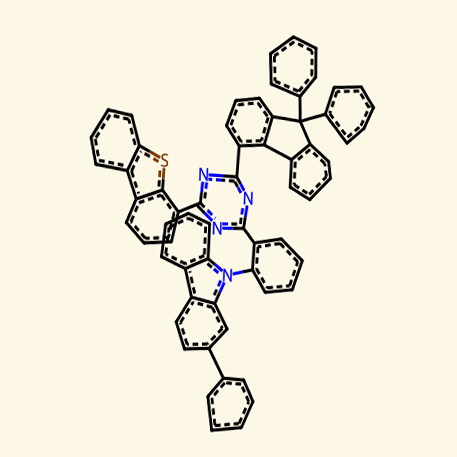 c1ccc(-c2ccc3c4ccccc4n(-c4ccccc4-c4nc(-c5cccc6c5-c5ccccc5C6(c5ccccc5)c5ccccc5)nc(-c5cccc6c5sc5ccccc56)n4)c3c2)cc1